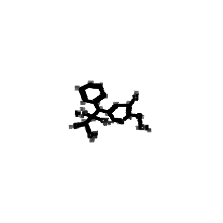 COc1ncc(C(c2ccccc2)C(C)(C)C(=O)O)cc1Cl